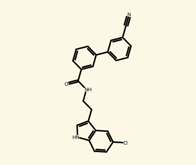 N#Cc1cccc(-c2cccc(C(=O)NCCc3c[nH]c4ccc(Cl)cc34)c2)c1